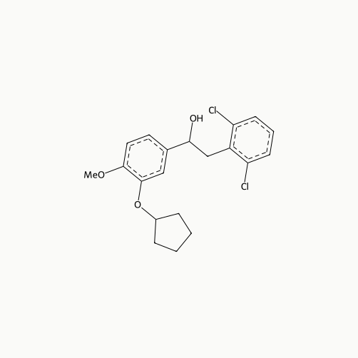 COc1ccc(C(O)Cc2c(Cl)cccc2Cl)cc1OC1CCCC1